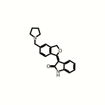 O=C1Nc2ccccc2/C1=C1\OCc2cc(CN3CCCC3)ccc21